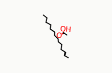 CC(=O)O.CC=CCCCCCCCCCCC